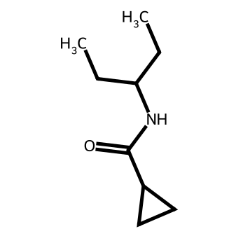 CCC(CC)NC(=O)C1CC1